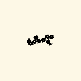 CC(C)c1ccc(N(c2ccc(-c3ccc4c(c3)c3ccccc3c3cc5c(cc43)oc3ccc4ccccc4c35)cc2)c2cccc3c2oc2ccccc23)cc1